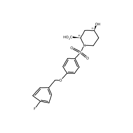 O=C(O)[C@H]1C[C@@H](O)CCN1S(=O)(=O)c1ccc(OCc2ccc(F)cc2)cc1